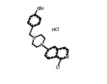 CC(C)(C)c1ccc(CN2CCN(c3ccc4c(Cl)nccc4c3)CC2)cc1.Cl